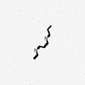 C=C\N=C/C=C\N=C\CC